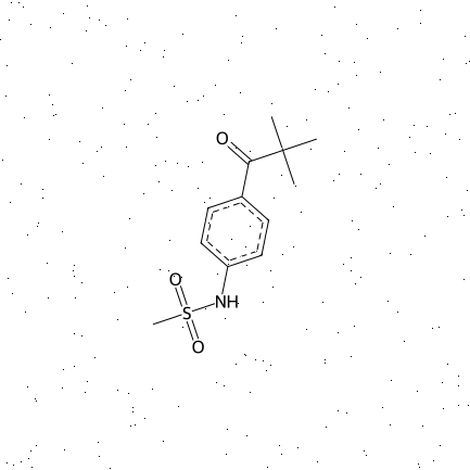 CC(C)(C)C(=O)c1ccc(NS(C)(=O)=O)cc1